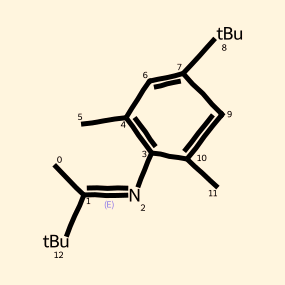 C/C(=N\c1c(C)cc(C(C)(C)C)cc1C)C(C)(C)C